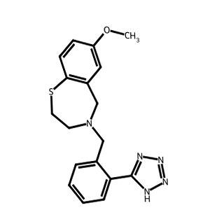 COc1ccc2c(c1)CN(Cc1ccccc1-c1nnn[nH]1)CCS2